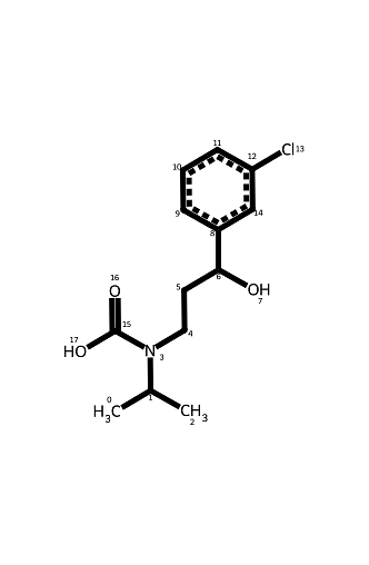 CC(C)N(CCC(O)c1cccc(Cl)c1)C(=O)O